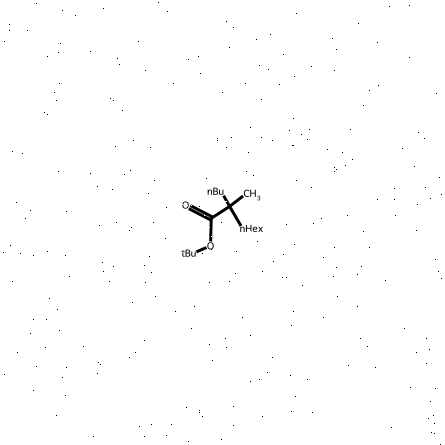 CCCCCCC(C)(CCCC)C(=O)OC(C)(C)C